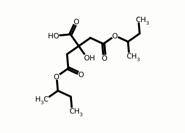 CCC(C)OC(=O)CC(O)(CC(=O)OC(C)CC)C(=O)O